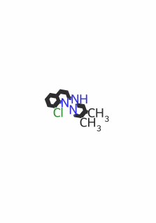 Cc1cnc(Nc2ccc3cccc(Cl)c3n2)cc1C